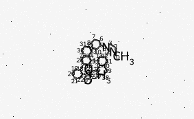 CN1C=CN(c2ccccc2)C1c1cc(-c2cc(-c3ccccc3S(C)(=O)=O)cc3ccccc23)c2ccccc2c1